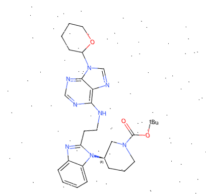 CC(C)(C)OC(=O)N1CCC[C@@H](n2c(CCNc3ncnc4c3ncn4C3CCCCO3)nc3ccccc32)C1